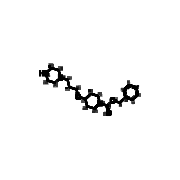 O=C(OCc1ccccc1)N1CCC(OCCCN2CCNCC2)CC1